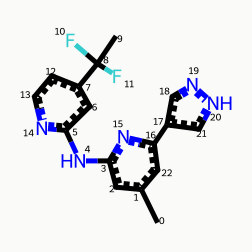 Cc1cc(Nc2cc(C(C)(F)F)ccn2)nc(-c2cn[nH]c2)c1